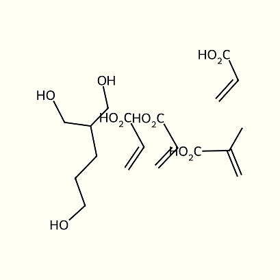 C=C(C)C(=O)O.C=CC(=O)O.C=CC(=O)O.C=CC(=O)O.OCCCC(CO)CO